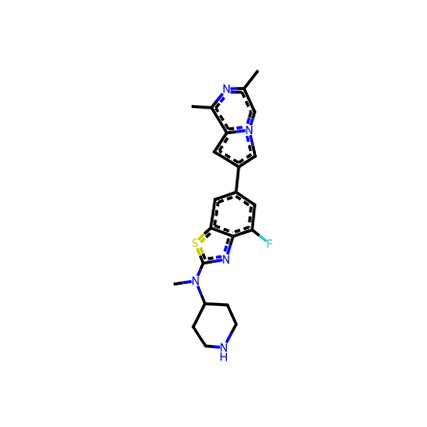 Cc1cn2cc(-c3cc(F)c4nc(N(C)C5CCNCC5)sc4c3)cc2c(C)n1